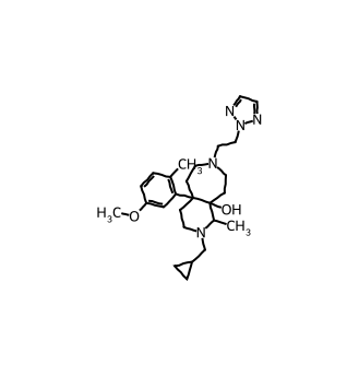 COc1ccc(C)c(C23CCN(CCn4nccn4)CCC2(O)C(C)N(CC2CC2)CC3)c1